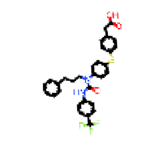 O=C(O)Cc1ccc(Sc2ccc(N(CCCc3ccccc3)C(=O)Nc3ccc(C(F)(F)F)cc3)cc2)cc1